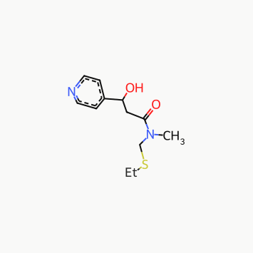 CCSCN(C)C(=O)CC(O)c1ccncc1